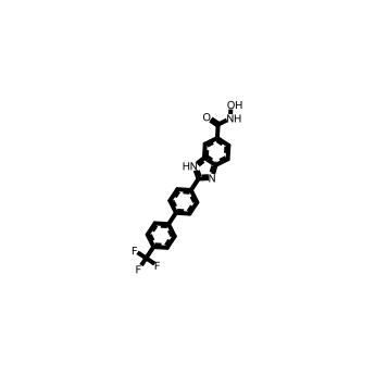 O=C(NO)c1ccc2nc(-c3ccc(-c4ccc(C(F)(F)F)cc4)cc3)[nH]c2c1